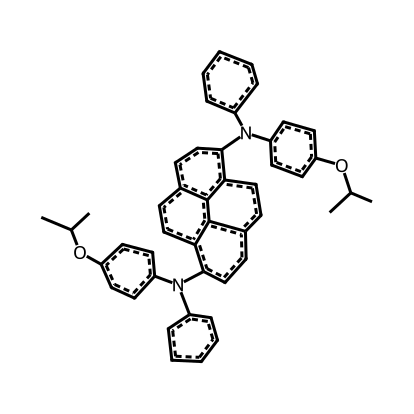 CC(C)Oc1ccc(N(c2ccccc2)c2ccc3ccc4c(N(c5ccccc5)c5ccc(OC(C)C)cc5)ccc5ccc2c3c54)cc1